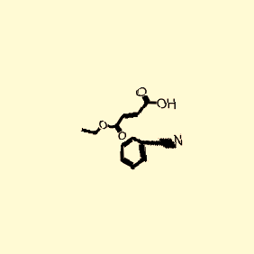 CCOC(=O)/C=C/C(=O)O.N#Cc1ccccc1